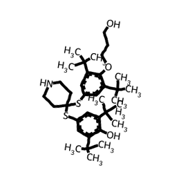 CC(C)(C)c1cc(SC2(Sc3cc(C(C)(C)C)c(OCCCO)c(C(C)(C)C)c3)CCNCC2)cc(C(C)(C)C)c1O